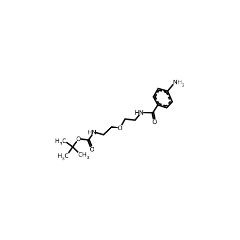 CC(C)(C)OC(=O)NCCOCCNC(=O)c1ccc(N)cc1